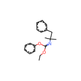 CCOC(=NC(C)(C)Cc1ccccc1)Oc1ccccc1